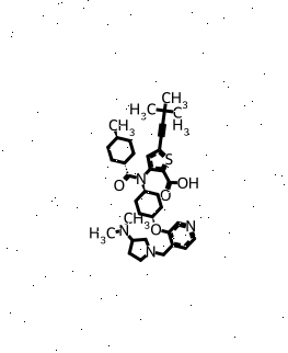 CN(C)C1CCN(Cc2ccncc2O[C@H]2CC[C@H](N(c3cc(C#CC(C)(C)C)sc3C(=O)O)C(=O)[C@H]3CC[C@H](C)CC3)CC2)C1